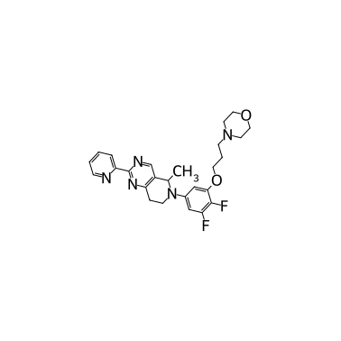 CC1c2cnc(-c3ccccn3)nc2CCN1c1cc(F)c(F)c(OCCCN2CCOCC2)c1